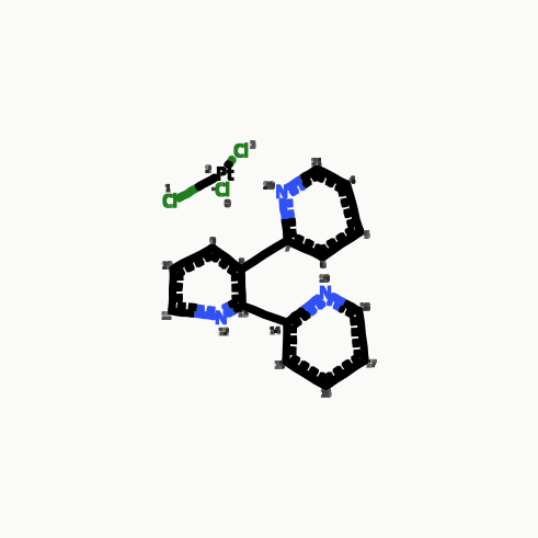 [Cl].[Cl][Pt][Cl].c1ccc(-c2cccnc2-c2ccccn2)nc1